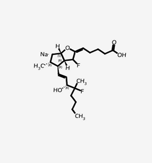 CCCCC(C)(F)[C@H](O)C=C[C@@H]1[C@H]2C(F)C(=CCCCC(=O)O)O[C@H]2C[C@H]1C.[Na]